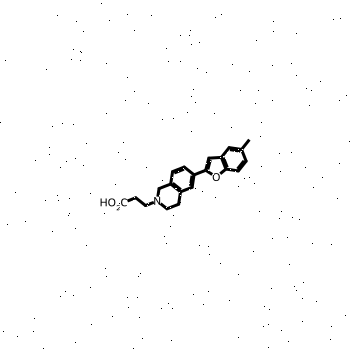 Cc1ccc2oc(-c3ccc4c(c3)CCN(CCC(=O)O)C4)cc2c1